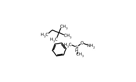 CCC(C)(C)C.C[SiH](C)ON.c1ccccc1